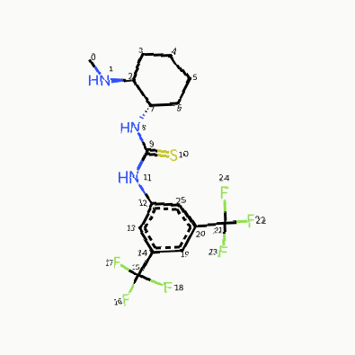 CN[C@H]1CCCC[C@@H]1NC(=S)Nc1cc(C(F)(F)F)cc(C(F)(F)F)c1